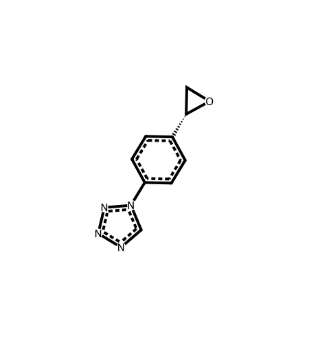 c1cc(-n2cnnn2)ccc1[C@@H]1CO1